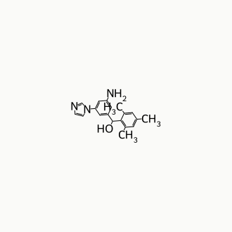 Cc1cc(C)c(C(O)c2cc(N)cc(-n3ccnc3)c2)c(C)c1